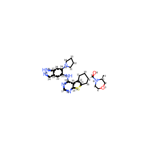 C[C@H]1COCCN1C(=O)[C@H]1CCc2c(sc3ncnc(Nc4cc5cn[nH]c5cc4N4CCCC4)c23)C1